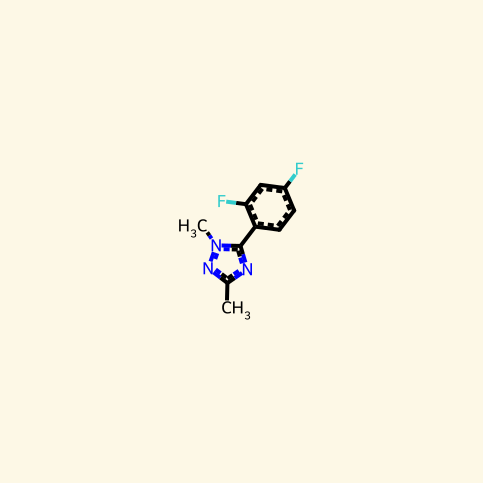 Cc1nc(-c2ccc(F)cc2F)n(C)n1